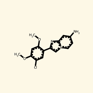 COc1cc(OC)c(-c2cn3ccc(N)cc3n2)cc1Cl